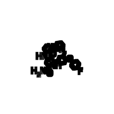 NC(=O)C1CC(NC2CCNC2=O)NC(c2ccc(Oc3ccc(F)cc3)c(CN3CCCCC3)c2)N1